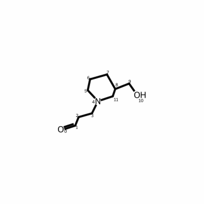 O=CCCN1CCCC(CO)C1